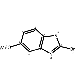 COc1ccc2sc(Br)nc2c1